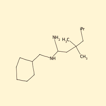 CC(C)CC(C)(C)CC(N)NCC1CCCCC1